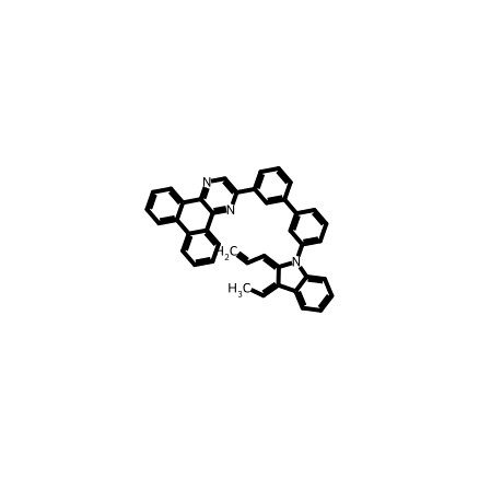 C=C/C=c1\c(=C/C)c2ccccc2n1-c1cccc(-c2cccc(-c3cnc4c5ccccc5c5ccccc5c4n3)c2)c1